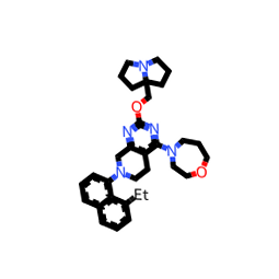 CCc1cccc2cccc(N3CCc4c(nc(OCC56CCCN5CCC6)nc4N4CCCOCC4)C3)c12